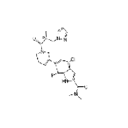 C[C@@H](Cn1cccn1)C(=O)N1CCC=C(c2cc(Cl)c3cc(C(=O)N(C)C)[nH]c3c2F)C1